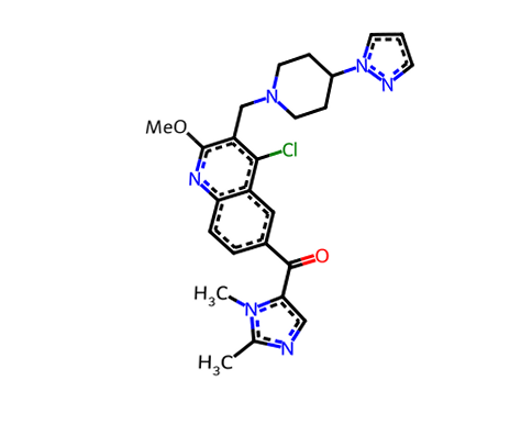 COc1nc2ccc(C(=O)c3cnc(C)n3C)cc2c(Cl)c1CN1CCC(n2cccn2)CC1